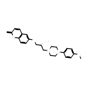 C=C1C=Cc2cc(OC[C@@H](O)CN3CCN(c4ccc(OC)cc4)CC3)ccc2N1